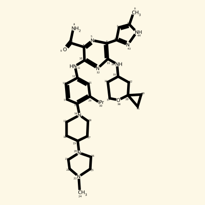 Cc1cc(-c2nc(C(N)=O)c(Nc3ccc(N4CCC(N5CCN(C)CC5)CC4)c(C(C)C)c3)nc2NC2CCOC3(CC3)C2)n[nH]1